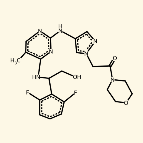 Cc1cnc(Nc2cnn(CC(=O)N3CCOCC3)c2)nc1NC(CO)c1c(F)cccc1F